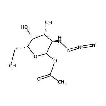 CC(=O)OC1O[C@H](CO)[C@H](O)[C@H](O)[C@H]1NN=[N+]=[N-]